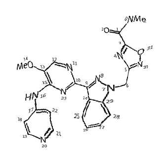 CNC(=O)c1nc(Cn2nc(-c3ncc(OC)c(Nc4ccncc4)n3)c3ccccc32)no1